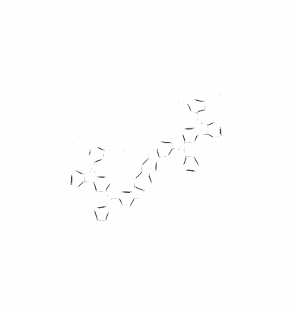 CC(C)(C)c1cc(-n2c3ccccc3c3cc(N(c4ccccc4)c4ccc5oc6cc7cc8c(cc7cc6c5c4)oc4ccc(N(c5ccccc5)c5ccc6c(c5)c5ccccc5n6-c5cc(C(C)(C)C)cc(C(C)(C)C)c5)cc48)ccc32)cc(C(C)(C)C)c1